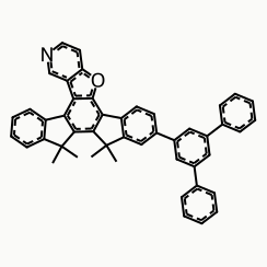 CC1(C)c2cc(-c3cc(-c4ccccc4)cc(-c4ccccc4)c3)ccc2-c2c1c1c(c3c2oc2ccncc23)-c2ccccc2C1(C)C